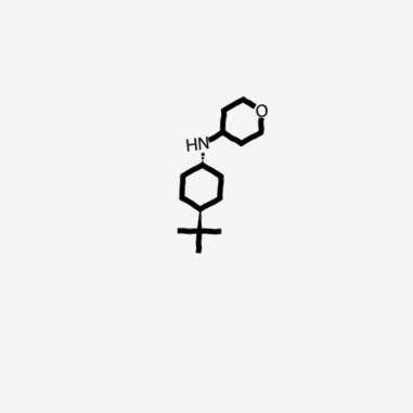 CC(C)(C)[C@H]1CC[C@H](NC2CCOCC2)CC1